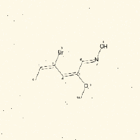 C\C=C(Br)/C=C(\C=N\O)OC